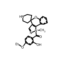 CCOc1ccc(C(=O)[N+]2(C)N=CC3=C2c2ccccc2OC32CCNCC2)c(O)c1